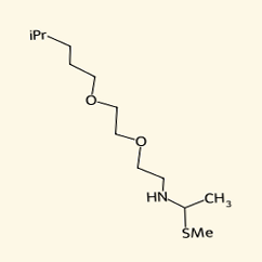 CSC(C)NCCOCCOCCCC(C)C